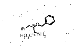 CC(C)C[C@@H](OCc1ccccc1)[C@H](N)C(=O)O